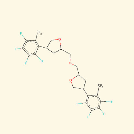 Fc1c(F)c(F)c(C(F)(F)F)c(C2COC(COCC3CC(c4c(F)c(F)c(F)c(F)c4C(F)(F)F)CO3)C2)c1F